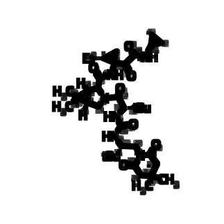 CC[C@@H]1CC1(NC(=O)C1[C@@H]2[C@H](CN1C(=O)[C@@H](NC(=O)N[C@H](CN1C(=O)CC(C)(C)CC1=O)C(C)(C)C)C(C)(C)C)C2(C)C)C(=O)C(=O)NC1CC1